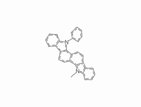 Cn1c2ccccc2c2ccc3c(ccc4c5ccccc5n(-c5ccccc5)c34)c21